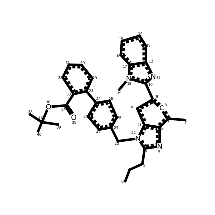 CCCc1nc2c(C)cc(-c3nc4ccccc4n3C)cc2n1Cc1ccc(-c2ccccc2C(=O)OC(C)(C)C)cc1